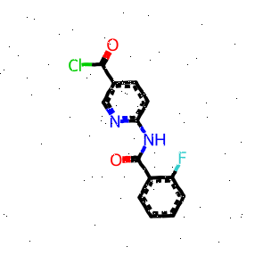 O=C(Cl)c1ccc(NC(=O)c2ccccc2F)nc1